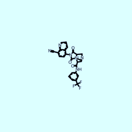 N#Cc1ccc(N2C(=O)C3CN4CC(C(=O)Nc5cccc(C(F)(F)F)c5)[N+]3(C4)C2=O)c2cccnc12